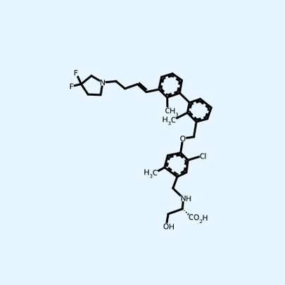 Cc1cc(OCc2cccc(-c3cccc(C=CCCN4CCC(F)(F)C4)c3C)c2C)c(Cl)cc1CN[C@@H](CO)C(=O)O